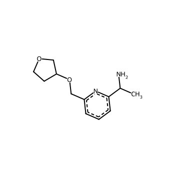 CC(N)c1cccc(COC2CCOC2)n1